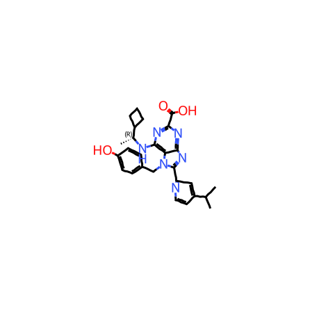 CC(C)c1ccnc(-c2nc3nc(C(=O)O)nc(N[C@H](C)C4CCC4)c3n2Cc2ccc(O)cc2)c1